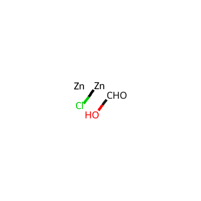 O=CO.[Cl][Zn].[Zn]